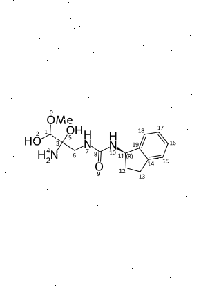 COC(O)C(N)(O)CNC(=O)N[C@@H]1CCc2ccccc21